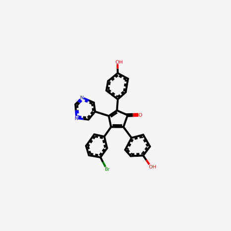 O=C1C(c2ccc(O)cc2)=C(c2cncnc2)C(c2cccc(Br)c2)=C1c1ccc(O)cc1